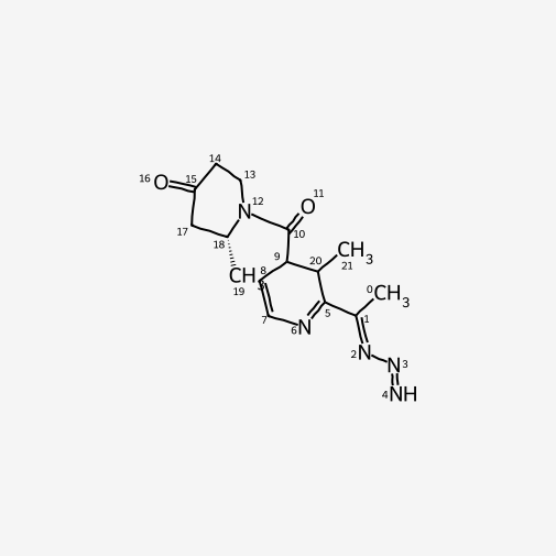 C/C(=N\N=N)C1=NC=CC(C(=O)N2CCC(=O)C[C@H]2C)C1C